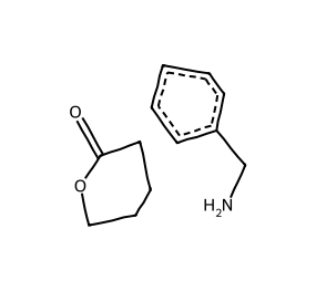 NCc1ccccc1.O=C1CCCCO1